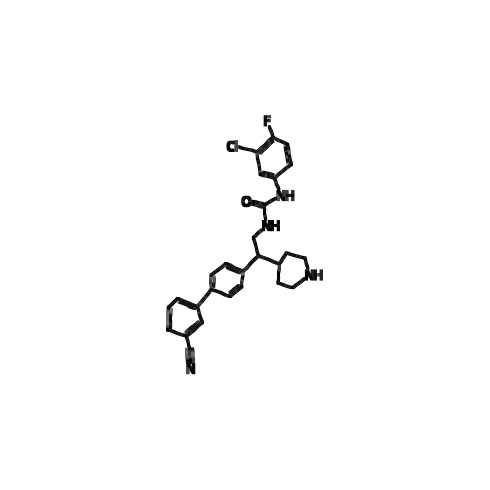 N#Cc1cccc(-c2ccc(C(CNC(=O)Nc3ccc(F)c(Cl)c3)C3CCNCC3)cc2)c1